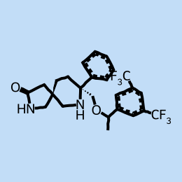 CC(OC[C@@]1(c2ccccc2)CC[C@]2(CNC(=O)C2)CN1)c1cc(C(F)(F)F)cc(C(F)(F)F)c1